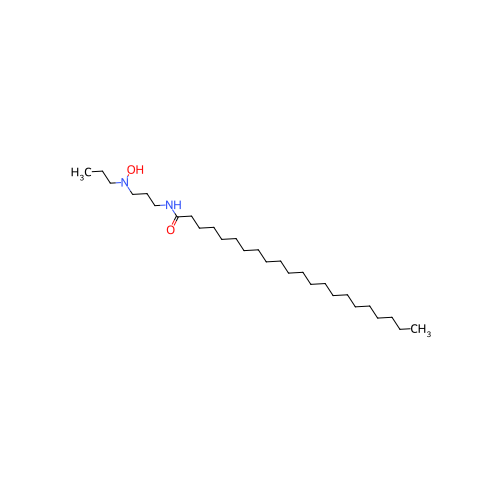 CCCCCCCCCCCCCCCCCCCCCC(=O)NCCCN(O)CCC